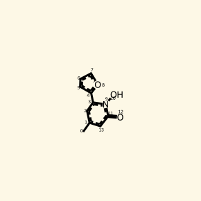 Cc1cc(-c2ccco2)n(O)c(=O)c1